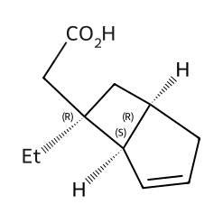 CC[C@]1(CC(=O)O)C[C@H]2CC=C[C@H]21